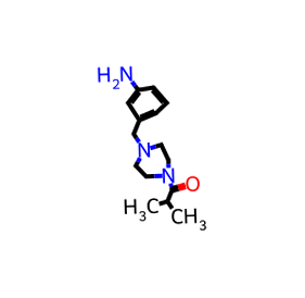 CC(C)C(=O)N1CCN(Cc2cccc(N)c2)CC1